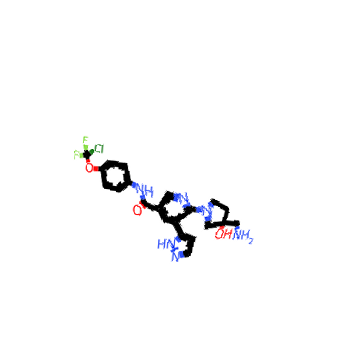 NCC1(O)CCN(c2ncc(C(=O)Nc3ccc(OC(F)(F)Cl)cc3)cc2-c2ccn[nH]2)C1